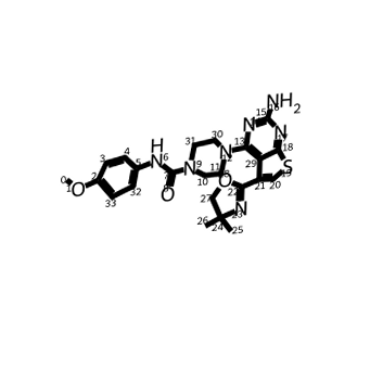 COc1ccc(NC(=O)N2CCN(c3nc(N)nc4scc(C5=NC(C)(C)CO5)c34)CC2)cc1